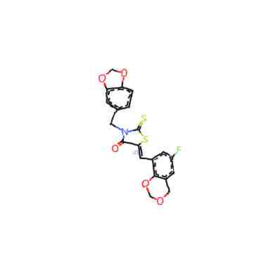 O=C1/C(=C/c2cc(F)cc3c2OCOC3)SC(=S)N1Cc1ccc2c(c1)OCO2